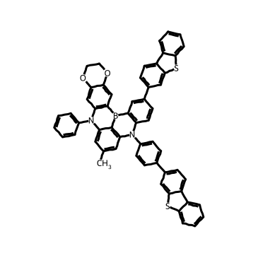 Cc1cc2c3c(c1)N(c1ccccc1)c1cc4c(cc1B3c1cc(-c3ccc5c(c3)sc3ccccc35)ccc1N2c1ccc(-c2ccc3c(c2)sc2ccccc23)cc1)OCCO4